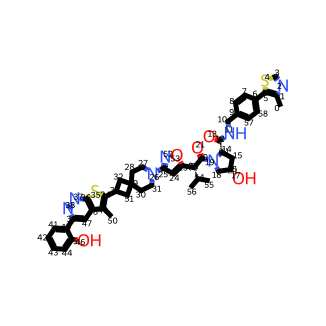 Cc1ncsc1-c1ccc(CNC(=O)[C@@H]2C[C@@H](O)CN2C(=O)[C@@H](c2cc(N3CCC4(CC3)CC(c3sc5nnc(-c6ccccc6O)cc5c3C)C4)no2)C(C)C)cc1